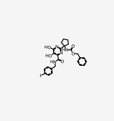 O=C(NC1(c2nc(O)c(O)c(C(=O)NCc3ccc(F)cc3)n2)CCCC1)OCc1ccccc1